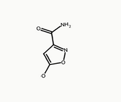 NC(=O)c1cc([O])on1